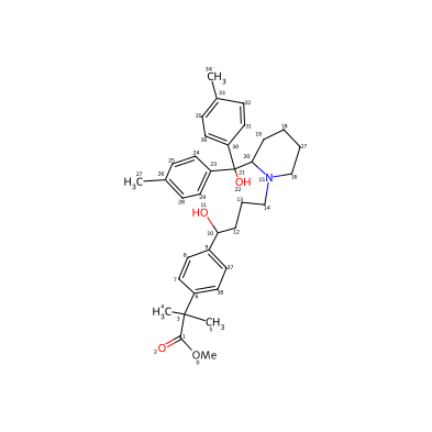 COC(=O)C(C)(C)c1ccc(C(O)CCCN2CCCCC2C(O)(c2ccc(C)cc2)c2ccc(C)cc2)cc1